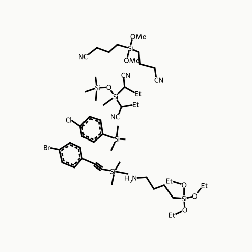 CCC(C#N)[Si](C)(O[Si](C)(C)C)C(C#N)CC.CCO[Si](CCCCN)(OCC)OCC.CO[Si](CCCC#N)(CCCC#N)OC.C[Si](C)(C)C#Cc1ccc(Br)cc1.C[Si](C)(C)c1ccc(Cl)cc1